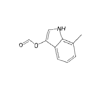 Cc1cccc2c(OC=O)c[nH]c12